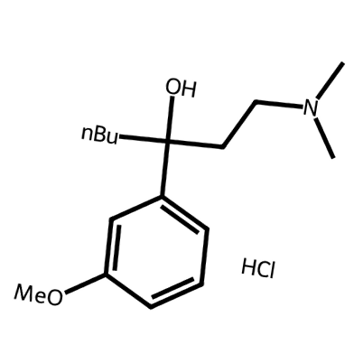 CCCCC(O)(CCN(C)C)c1cccc(OC)c1.Cl